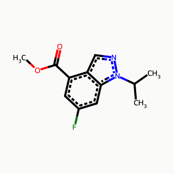 COC(=O)c1cc(F)cc2c1cnn2C(C)C